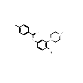 COc1ccc(NC(=O)c2ccc(I)cc2)cc1N1CCN(C)CC1